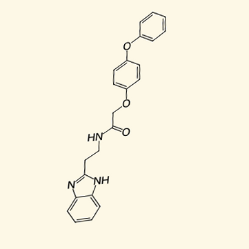 O=C(COc1ccc(Oc2ccccc2)cc1)NCCc1nc2ccccc2[nH]1